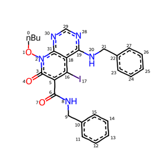 CCCCOn1c(=O)c(C(=O)NCc2ccccc2)c(I)c2c(NCc3ccccc3)ncnc21